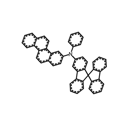 c1ccc(N(c2ccc3c(c2)-c2ccccc2C32c3ccccc3-c3ccccc32)c2ccc3ccc4c5ccccc5ccc4c3c2)cc1